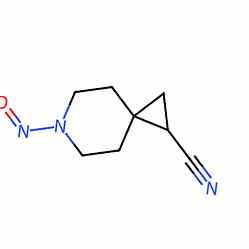 N#CC1CC12CCN(N=O)CC2